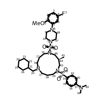 COc1ccc(F)cc1N1CCN(S(=O)(=O)N2CCCN(CC3CCCCC3)CCCN(S(=O)(=O)c3ccc(N(C)C)cc3)C[C@H](C)C2)CC1